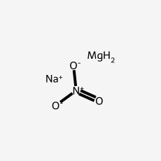 O=[N+]([O-])[O-].[MgH2].[Na+]